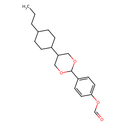 CCCC1CCC(C2COC(c3ccc(OC=O)cc3)OC2)CC1